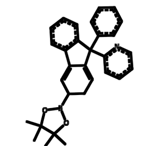 CC1(C)OB(C2C=C3C(=CC2)C(c2ccccc2)(c2ccccn2)c2ccccc23)OC1(C)C